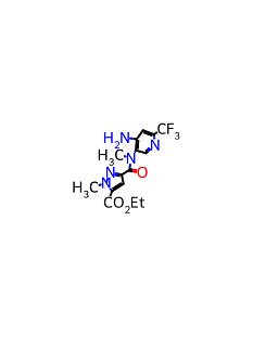 CCOC(=O)c1cc(C(=O)N(C)c2cnc(C(F)(F)F)cc2N)nn1C